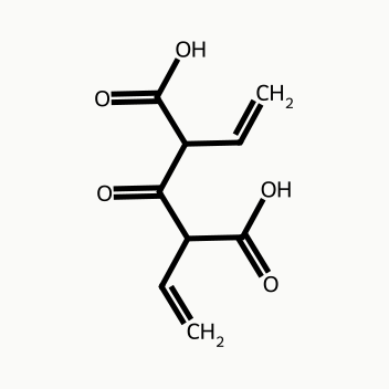 C=CC(C(=O)O)C(=O)C(C=C)C(=O)O